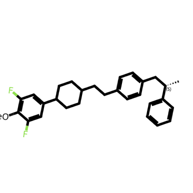 COc1c(F)cc(C2CCC(CCc3ccc(C[C@H](C)c4ccccc4)cc3)CC2)cc1F